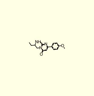 CCC(N)Cn1c(C)nc(-c2ccc(OC)cc2)cc1=O